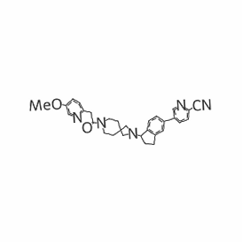 COc1ccc(CC(=O)N2CCC3(CC2)CN(C2CCc4cc(-c5ccc(C#N)nc5)ccc42)C3)nc1